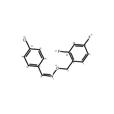 Fc1ccc(CO/N=[C]\c2ccc(Cl)cc2)c(F)c1